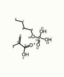 C=C(C)C(=O)O.CCCCOP(=O)(O)O